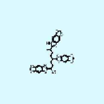 CCC(CCC(CCC(C)c1nc2cc3c(cc2[nH]1)OCO3)c1nc2cc3c(cc2o1)OCO3)c1nc2cc3c(cc2s1)OCO3